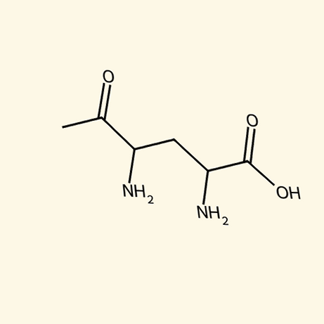 CC(=O)C(N)CC(N)C(=O)O